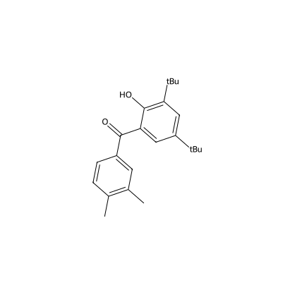 Cc1ccc(C(=O)c2cc(C(C)(C)C)cc(C(C)(C)C)c2O)cc1C